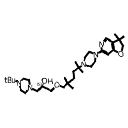 CC(C)(CCC(C)(C)N1CCN(c2cc3c(cn2)C(C)(C)CO3)CC1)COC[C@@H](O)CN1CCN(C(C)(C)C)CC1